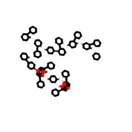 c1ccc(-n2c3ccccc3c3cc(-n4c5ccccc5c5cc(-n6c7ccccc7c7c(-c8ccc(-n9c%10ccc(-n%11c%12ccccc%12c%12ccccc%12%11)cc%10c%10cc(-n%11c%12ccccc%12c%12ccc(-c%13ccc%14c(c%13)c%13ccccc%13n%14-c%13cc(-n%14c%15ccccc%15c%15ccccc%15%14)c(-n%14c%15ccccc%15c%15ccccc%15%14)cc%13-n%13c%14ccccc%14c%14ccccc%14%13)cc%12%11)ccc%109)cc8)cccc76)ccc54)ccc32)cc1